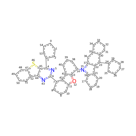 c1ccc(-c2nc(-c3cccc4oc5c(-n6c7ccccc7c7c(-c8ccccc8)c8ccccc8cc76)cccc5c34)nc3c2sc2ccccc23)cc1